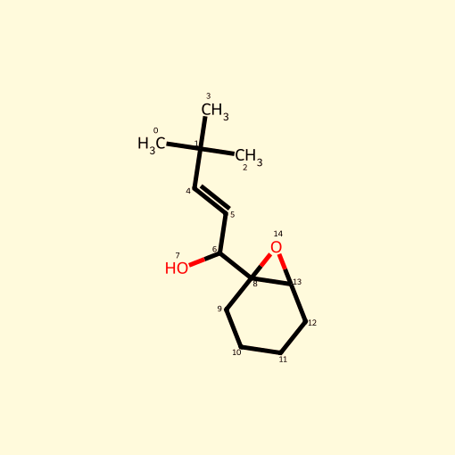 CC(C)(C)C=CC(O)C12CCCCC1O2